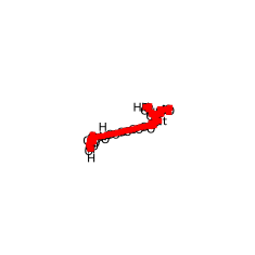 CCN(c1cc(-c2ccc(CN3CCOCC3)cc2)cc(C(=O)NCc2c(C)cc(C)[nH]c2=O)c1C)C1CCN(C(=O)CCOCCOCCOCCOCCOCCOCCOCCC(=O)NCCOc2cccc3c2C(=O)N(C2CCC(=O)NC2=O)C3=O)CC1